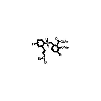 CC[As](CC)CC=Cc1cc(F)ccc1S(=O)(=O)Cc1ccc(Br)c(OC)c1C(=O)OC